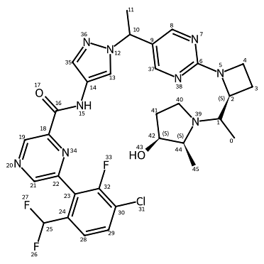 CC([C@@H]1CCN1c1ncc(C(C)n2cc(NC(=O)c3cncc(-c4c(C(F)F)ccc(Cl)c4F)n3)cn2)cn1)N1CC[C@H](O)[C@@H]1C